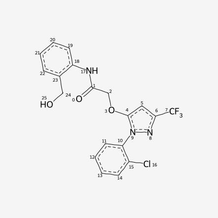 O=C(COc1cc(C(F)(F)F)nn1-c1ccccc1Cl)Nc1ccccc1CO